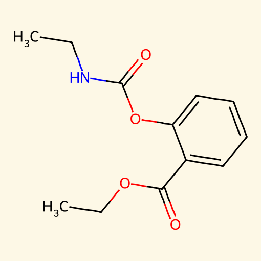 CCNC(=O)Oc1ccccc1C(=O)OCC